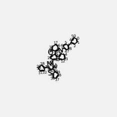 c1ccc(-c2ccc(N(c3ccccc3)c3cccc4oc5cc(-c6nc(-c7ccccc7)c7sc8ccccc8c7n6)ccc5c34)cc2)cc1